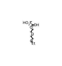 CCOCCOCCOC(O)C(=O)O